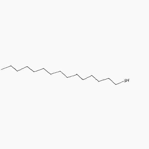 [CH2]CCCCCCCCCCCCCCS